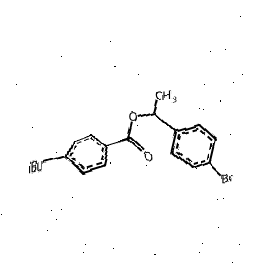 CCC(C)c1ccc(C(=O)OC(C)c2ccc(Br)cc2)cc1